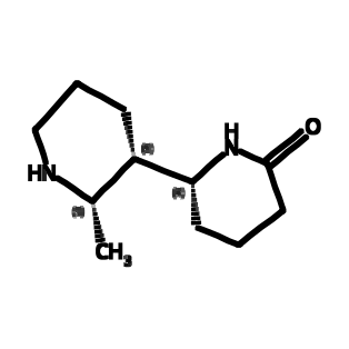 C[C@@H]1NCCC[C@@H]1[C@H]1CCCC(=O)N1